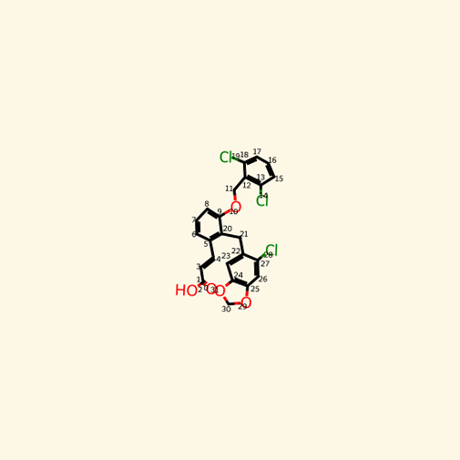 O=C(O)/C=C/c1cccc(OCc2c(Cl)cccc2Cl)c1Cc1cc2c(cc1Cl)OCO2